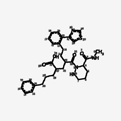 CNC(=O)C1CCCNN1C(=O)C(CCc1ccccc1-c1cscn1)CC(CCCc1ccccc1)C(=O)O